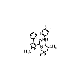 Cc1nc(C(=O)N2CC(F)(F)CC(C)C2CNc2ccc(C(F)(F)F)cn2)c(-c2ncccn2)s1